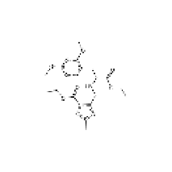 CCOC(=O)c1sc(C)nc1CNC(Cc1ccc(OC)cc1OC)C(=O)OCC